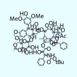 CC(=O)O[C@@]12CO[C@@H]1C[C@H](O)[C@@]1(C)C(=O)[C@H](O)C3=C(C)[C@@H](OC(=O)[C@H](O)[C@@H](NC(=O)OC(C)(C)C)c4ccccc4)C[C@@](O)([C@@H](OC(=O)c4ccccc4)[C@H]21)C3(C)C.COc1cc([C@@H]2c3cc4c(cc3[C@@H](O[C@@H]3O[C@@H]5CO[C@@H](C)O[C@H]5[C@H](O)[C@H]3O)[C@H]3COC(=O)[C@H]23)OCO4)cc(OC)c1O